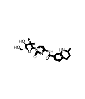 CC1CCc2ccc(C(=O)Nc3ccn(C4O[C@H](CO)[C@@H](O)C4(F)I)c(=O)n3)cc2N1